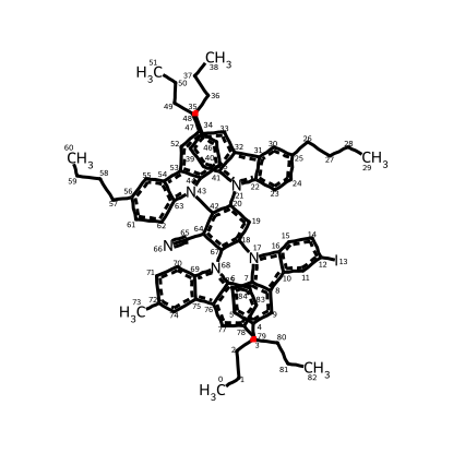 CCCCc1ccc2c(c1)c1cc(I)ccc1n2-c1cc(-n2c3ccc(CCCC)cc3c3cc(CCCC)ccc32)c(-n2c3ccc(CCCC)cc3c3cc(CCCC)ccc32)c(C#N)c1-n1c2ccc(C)cc2c2cc(CCCC)ccc21